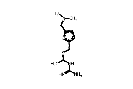 CC(NC(=N)N)SCc1ccc(CN(C)C)o1